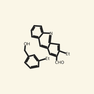 CCc1cc2nc3ccccc3cc2cc1C=O.CCc1cccc(CO)c1